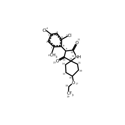 Cc1cc(Cl)cc(Cl)c1C1C(=O)NC2(CCC(OCC(F)(F)F)CC2)C1=O